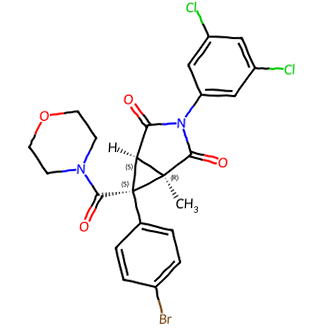 C[C@@]12C(=O)N(c3cc(Cl)cc(Cl)c3)C(=O)[C@@H]1[C@]2(C(=O)N1CCOCC1)c1ccc(Br)cc1